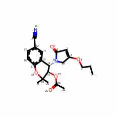 CCCOC1=CC(=O)N([C@H]2c3cc(C#N)ccc3OC(C)(C)[C@@H]2OC(C)=O)C1